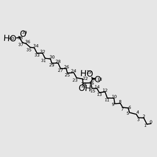 CCCCCCCCCCCCCCCCC(C(=O)O)C(O)CCCCCCCCCCCCCCCCC(=O)O